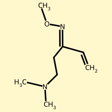 C=C/C(CCN(C)C)=N/OC